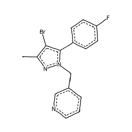 Cc1nn(Cc2cccnc2)c(-c2ccc(F)cc2)c1Br